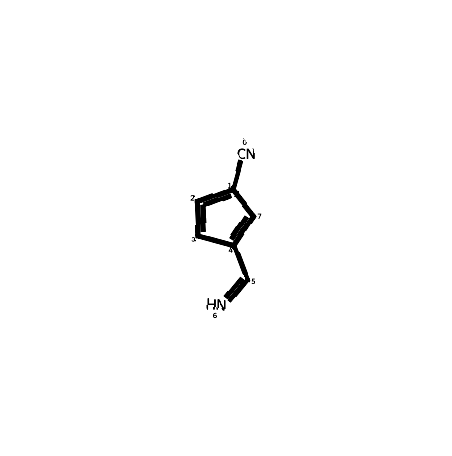 N#CC1=C=CC(C=N)=C1